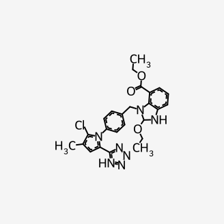 CCOC(=O)c1cccc2c1N(Cc1ccc(-n3c(-c4nnn[nH]4)cc(C)c3Cl)cc1)C(OCC)N2